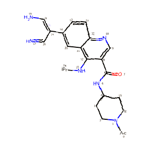 CC(=O)N1CCC(NC(=O)c2cnc3ccc(/C(C=N)=C/N)cc3c2NC(C)C)CC1